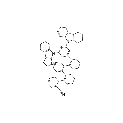 N#CC1=CC=CCC1C1=C(C2=CCCCC2C2=C(C3=CC(N4C5C=CCCC5C5CCCCC54)=NC(N4C5=C(CCCC5)C5CCNC54)C3)CCCC2)CCC=C1